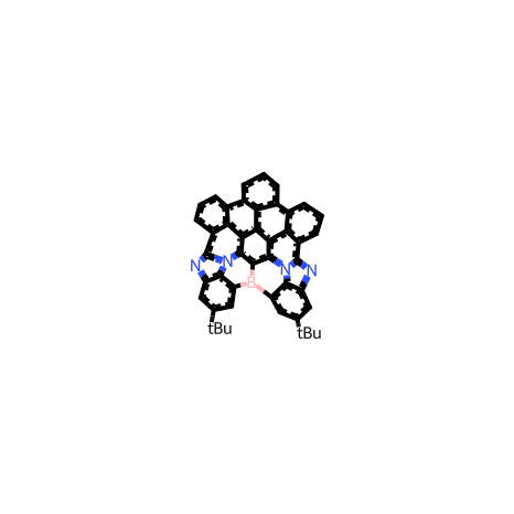 CC(C)(C)c1cc2c3c(c1)nc1c4cccc5c6cccc7c8cccc9c8c8c(c67)c(c54)c(c4c8n5c9nc6cc(C(C)(C)C)cc(c65)B24)n13